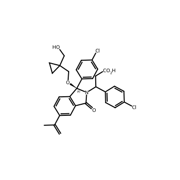 C=C(C)c1ccc2c(c1)C(=O)N(C(CC(=O)O)c1ccc(Cl)cc1)[C@@]2(OCC1(CO)CC1)c1ccc(Cl)cc1